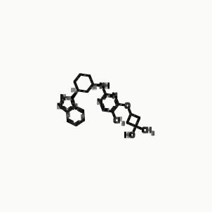 CC1(O)CC(Oc2nc(N[C@@H]3CCC[C@H](c4nnc5ccccn45)C3)ncc2C(F)(F)F)C1